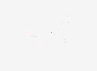 CC1(C)CCC(N(C(=O)C(C)(C)/C=N/O)[C@H]2CCN(C[C@H]3CN(C(C)(C)C)C[C@H]3c3ccc(Cl)cc3)C2)CC1